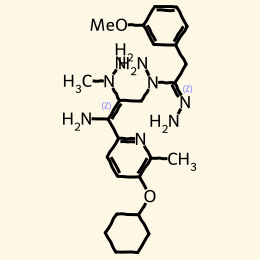 COc1cccc(C/C(=N/N)N(N)C/C(=C(/N)c2ccc(OC3CCCCC3)c(C)n2)N(C)N)c1